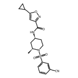 C[C@H]1C[C@@H](NC(=O)c2cc(C3CC3)on2)CCN1S(=O)(=O)c1cccc(C#N)c1